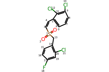 O=S(=O)(/C=C\c1cccc(Cl)c1Cl)Cc1ccc(F)cc1Cl